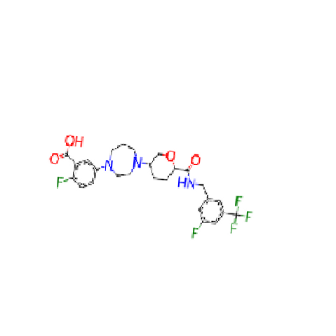 O=C(O)c1cc(N2CCCN(C3CCC(C(=O)NCc4cc(F)cc(C(F)(F)F)c4)OC3)CC2)ccc1F